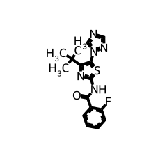 CC(C)(C)c1nc(NC(=O)c2ccccc2F)sc1-n1cncn1